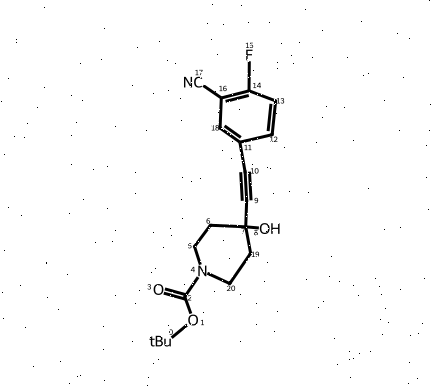 CC(C)(C)OC(=O)N1CCC(O)(C#Cc2ccc(F)c(C#N)c2)CC1